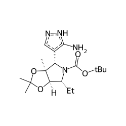 CC[C@@H]1[C@H]2OC(C)(C)O[C@@]2(C)[C@H](c2cn[nH]c2N)N1C(=O)OC(C)(C)C